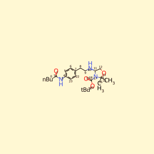 CCCCC(=O)Nc1ccc(CCN[C@H]2COC(C)(C)N2C(=O)OC(C)(C)C)cc1